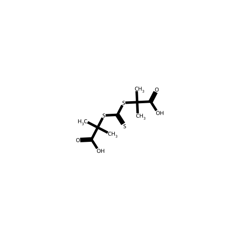 CC(C)(SC(=S)SC(C)(C)C(=O)O)C(=O)O